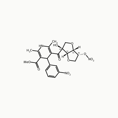 COC(=O)C1=C(C)NC(C)=C(C(=O)[C@]2(O)CO[C@@H]3[C@H](O[N+](=O)[O-])CO[C@@H]32)C1c1cccc([N+](=O)[O-])c1